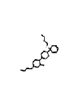 CCCCOC1(C2CCC(C3CCC(CCCC)CC3C)CC2)C=CC=CC1